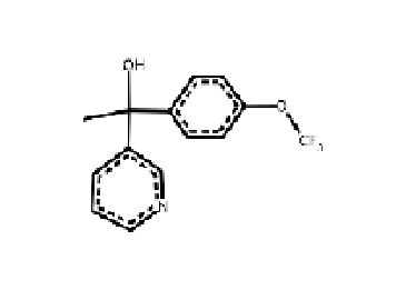 CC(O)(c1ccc(OC(F)(F)F)cc1)c1cccnc1